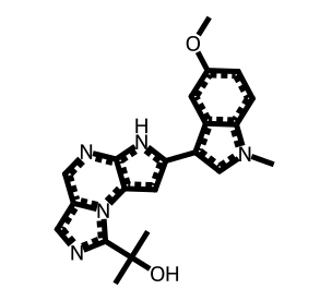 COc1ccc2c(c1)c(-c1cc3c(ncc4cnc(C(C)(C)O)n43)[nH]1)cn2C